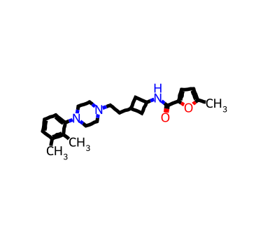 Cc1ccc(C(=O)NC2CC(CCN3CCN(c4cccc(C)c4C)CC3)C2)o1